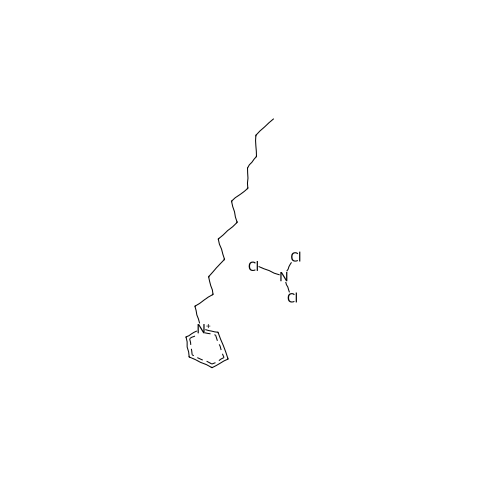 CCCCCCCCCCCC[n+]1ccccc1.ClN(Cl)Cl